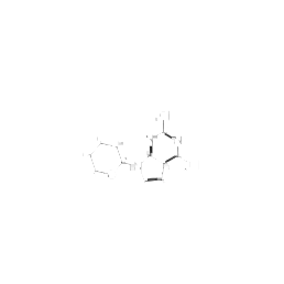 Clc1nc(Cl)c2ccn(C3CCCCO3)c2n1